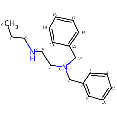 CCCNCCN(Cc1ccccc1)Cc1ccccc1